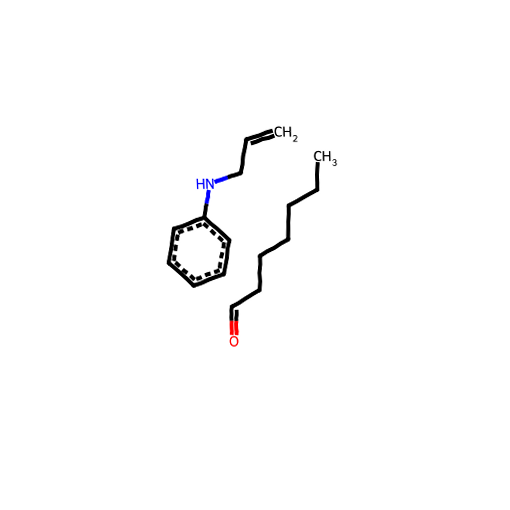 C=CCNc1ccccc1.CCCCCCC=O